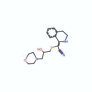 N#CC(SCC(O)CN1CCOCC1)=C1NCCc2ccccc21